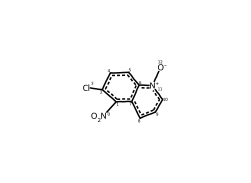 O=[N+]([O-])c1c(Cl)ccc2c1ccc[n+]2[O-]